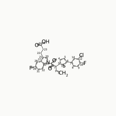 C=CC(c1ccc(-c2ccc(F)c(Cl)c2)s1)S(=O)(=O)n1cc(CCC(=O)O)c2cc(F)ccc21